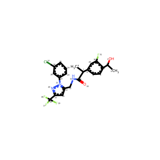 CC(O)c1ccc(C(C)C(=O)NCc2cc(C(F)(F)F)nn2-c2cccc(Cl)c2)cc1F